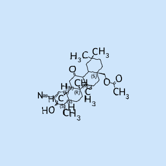 CC(=O)OC[C@]12CCC(C)(C)CC1C1C(=O)C[C@@H]3[C@@]4(C)C=C(C#N)C(O)[C@@H](C)[C@@H]4CC[C@@]3(C)[C@]1(C)CC2